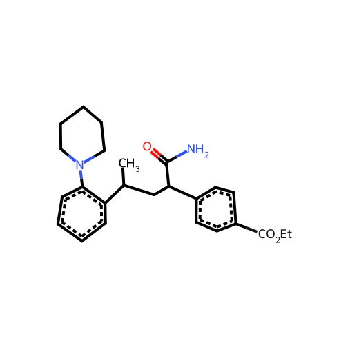 CCOC(=O)c1ccc(C(CC(C)c2ccccc2N2CCCCC2)C(N)=O)cc1